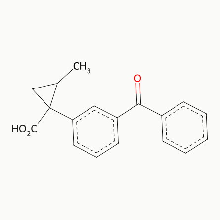 CC1CC1(C(=O)O)c1cccc(C(=O)c2ccccc2)c1